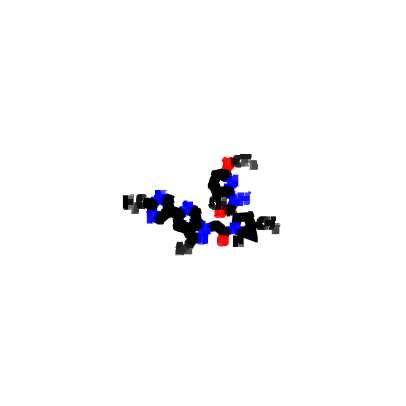 CC(=O)c1nn(CC(=O)N2[C@H](C(=O)Nc3nc(OC(F)(F)F)ccc3C)C[C@@]3(C)C[C@@H]23)c2cnc(-c3cnc(C)nc3)cc12